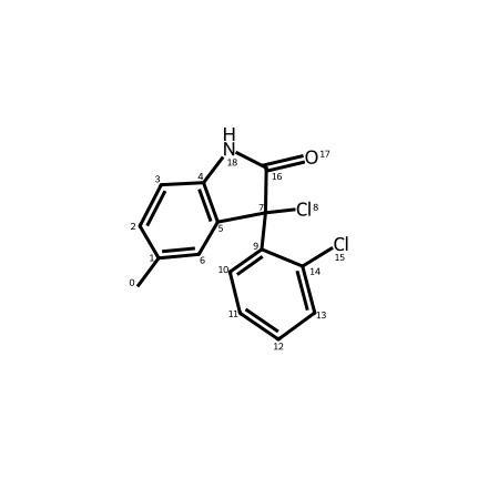 Cc1ccc2c(c1)C(Cl)(c1ccccc1Cl)C(=O)N2